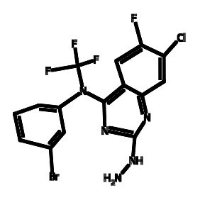 NNc1nc(N(c2cccc(Br)c2)C(F)(F)F)c2cc(F)c(Cl)cc2n1